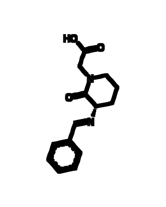 O=C(O)CN1CCC[C@H](/N=C/c2ccccc2)C1=O